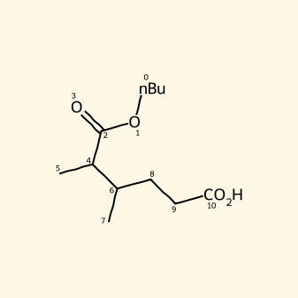 CCCCOC(=O)C(C)C(C)CCC(=O)O